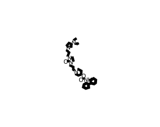 CCN(CC)C1CCN(CCCN2CCN(CCCN3CCC(OC(=O)Nc4ccccc4-c4ccccc4)CC3)C2=O)C1